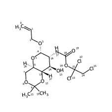 C=CCO[C@H]1O[C@@H]2COC(C)(C)O[C@H]2[C@H](O)[C@H]1NC(=O)OC(Cl)(Cl)CCl